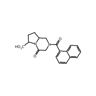 O=C(O)C1CCC2CN(C(=O)c3cccc4ccccc34)CC(=O)N21